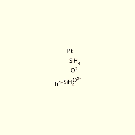 [O-2].[O-2].[Pt].[SiH4].[SiH4].[Ti+4]